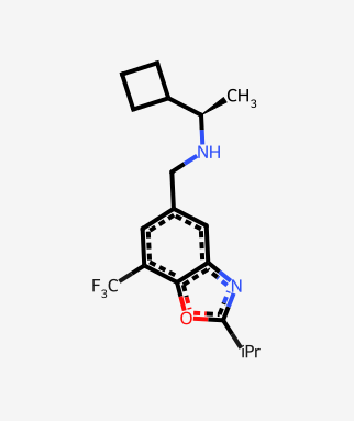 CC(C)c1nc2cc(CN[C@H](C)C3CCC3)cc(C(F)(F)F)c2o1